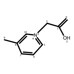 C=C(O)C[n+]1cccc(C)c1